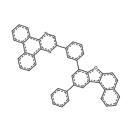 c1ccc(-c2cc(-c3cccc(-c4cnc5c6ccccc6c6ccccc6c5n4)c3)c3oc4ccc5ccccc5c4c3c2)cc1